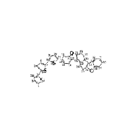 c1csc(-c2ccc(-c3ccc(-c4ccc5c(c4)oc4ccc6c(ccc7oc8ccccc8c76)c45)s3)s2)c1